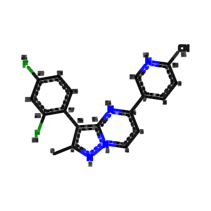 Cc1nn2ccc(-c3ccc(C#N)nc3)nc2c1-c1ccc(F)cc1F